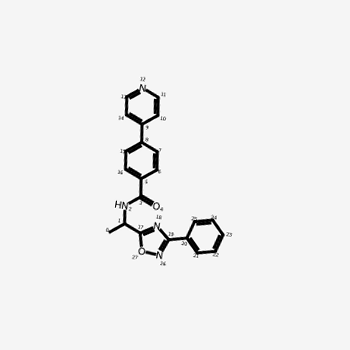 CC(NC(=O)c1ccc(-c2ccncc2)cc1)c1nc(-c2ccccc2)no1